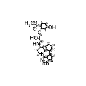 COC(=O)c1ccc(O)cc1OCC(O)CNC1CCN(c2ncnc3scc(-c4ccccc4)c23)CC1